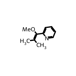 COC(=C(C)C)c1ccccn1